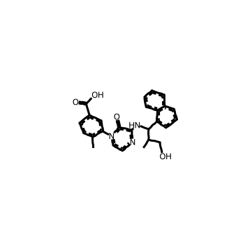 Cc1ccc(C(=O)O)cc1-n1ccnc(NC(c2cccc3ccccc23)C(C)CO)c1=O